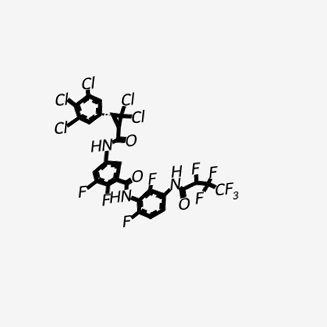 O=C(Nc1c(F)ccc(NC(=O)C(F)C(F)(F)C(F)(F)F)c1F)c1cc(NC(=O)C2[C@H](c3cc(Cl)c(Cl)c(Cl)c3)C2(Cl)Cl)cc(F)c1F